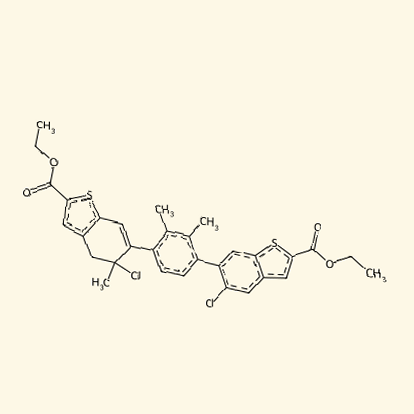 CCOC(=O)c1cc2c(s1)C=C(c1ccc(-c3cc4sc(C(=O)OCC)cc4cc3Cl)c(C)c1C)C(C)(Cl)C2